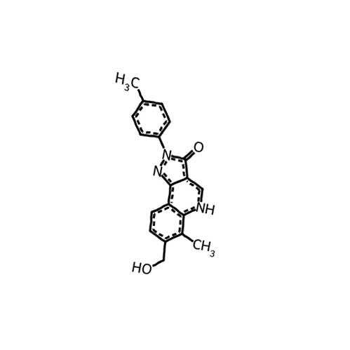 Cc1ccc(-n2nc3c4ccc(CO)c(C)c4[nH]cc-3c2=O)cc1